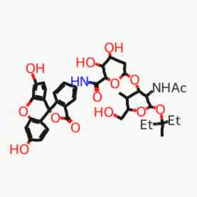 CCC(C)(CC)OC1OC(CO)C(C)C(OC2CC(O)C(O)C(C(=O)Nc3ccc4c(c3)C(=O)OC43c4ccc(O)cc4Oc4cc(O)ccc43)O2)C1NC(C)=O